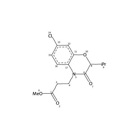 COC(=O)CCN1C(=O)C(C(C)C)Oc2cc(Cl)ccc21